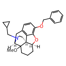 COC12CCC[C@@H]3Oc4c(OCc5ccccc5)ccc5c4[C@@]31CCN(CC1CC1)[C@@H]2C5